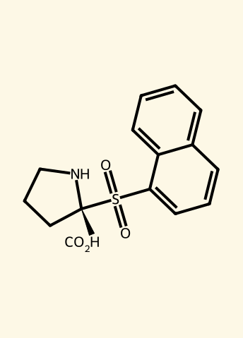 O=C(O)[C@@]1(S(=O)(=O)c2cccc3ccccc23)CCCN1